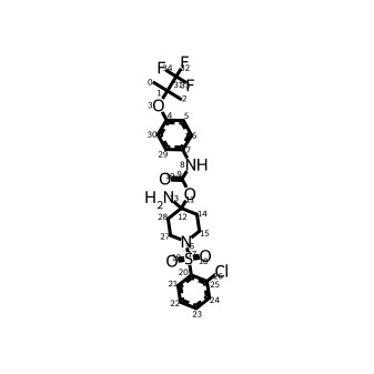 CC(C)(Oc1ccc(NC(=O)OC2(N)CCN(S(=O)(=O)c3ccccc3Cl)CC2)cc1)C(F)(F)F